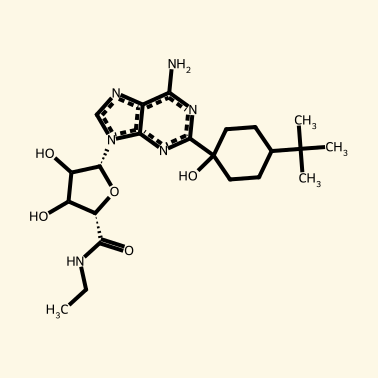 CCNC(=O)[C@H]1O[C@@H](n2cnc3c(N)nc(C4(O)CCC(C(C)(C)C)CC4)nc32)C(O)C1O